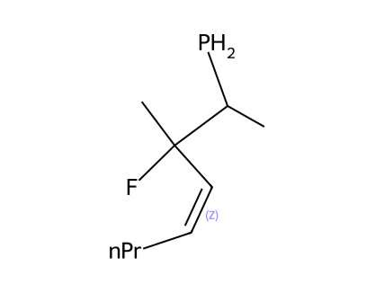 CCC/C=C\C(C)(F)C(C)P